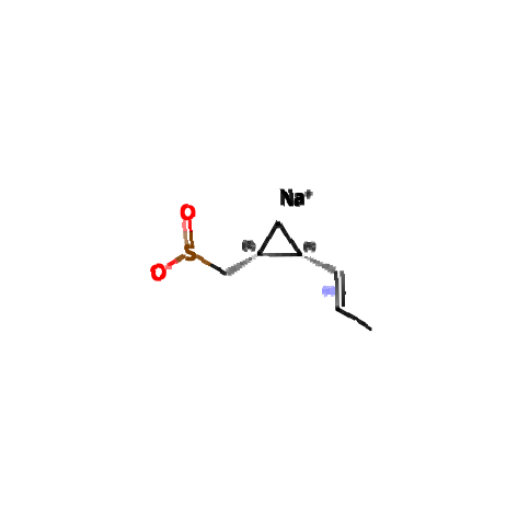 C/C=C/[C@H]1C[C@H]1CS(=O)[O-].[Na+]